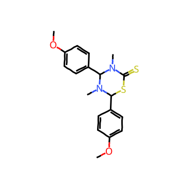 COc1ccc(C2SC(=S)N(C)C(c3ccc(OC)cc3)N2C)cc1